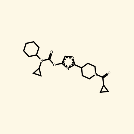 O=C(C1CC1)N1CCC(c2nc(OC(=O)N(C3CCCCC3)C3CC3)cs2)CC1